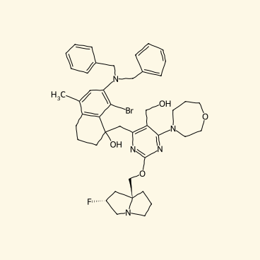 Cc1cc(N(Cc2ccccc2)Cc2ccccc2)c(Br)c2c1CCCC2(O)Cc1nc(OC[C@@]23CCCN2C[C@H](F)C3)nc(N2CCCOCC2)c1CO